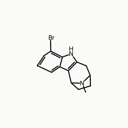 CN1C2CCC1c1c([nH]c3c(Br)cccc13)C2